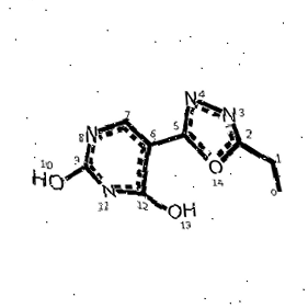 CCc1nnc(-c2cnc(O)nc2O)o1